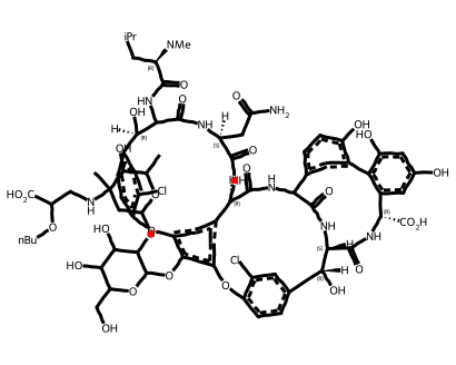 CCCCOC(CNC1(C)CC(OC2C(Oc3c4cc5cc3Oc3ccc(cc3Cl)[C@@H](O)[C@@H]3NC(=O)C(NC(=O)[C@@H]5NC(=O)[C@H](CC(N)=O)NC(=O)C(NC(=O)[C@@H](CC(C)C)NC)[C@H](O)c5ccc(c(Cl)c5)O4)c4ccc(O)c(c4)-c4c(O)cc(O)cc4[C@H](C(=O)O)NC3=O)OC(CO)C(O)C2O)OC(C)C1O)C(=O)O